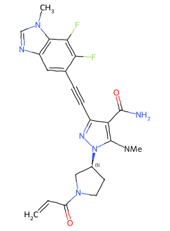 C=CC(=O)N1CC[C@H](n2nc(C#Cc3cc4ncn(C)c4c(F)c3F)c(C(N)=O)c2NC)C1